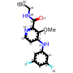 COc1c(Nc2cc(F)cc(F)c2)ccnc1C(=O)NCC(C)(C)C